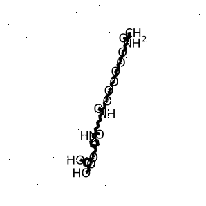 C=CC(=O)NCCOCCOCCOCCOCCOCCOCCC(=O)NCCCCCC(=O)Nc1ccc(CCOC2CC(O)CC(CO)O2)cc1